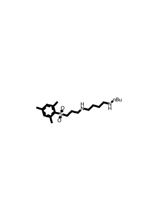 CCCCNCCCCNCCCS(=O)(=O)c1c(C)cc(C)cc1C